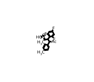 CC(=O)C(c1ccc(C)cc1)C(/C(C)=[N+](\[O-])O)c1c(F)cc(F)cc1F